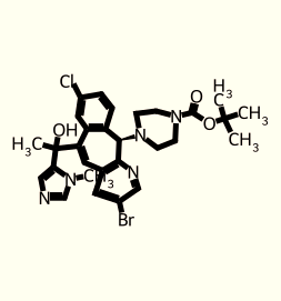 Cn1cncc1C(C)(O)C1=Cc2cc(Br)cnc2[C@H](N2CCN(C(=O)OC(C)(C)C)CC2)c2ccc(Cl)cc21